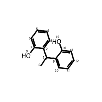 C[C](c1ccccc1O)c1ccccc1O